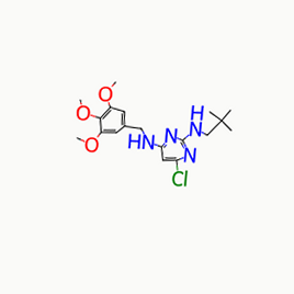 COc1cc(CNc2cc(Cl)nc(NCC(C)(C)C)n2)cc(OC)c1OC